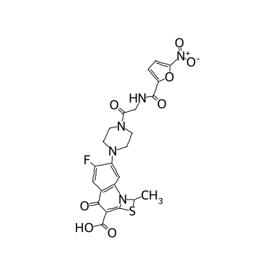 CC1Sc2c(C(=O)O)c(=O)c3cc(F)c(N4CCN(C(=O)CNC(=O)c5ccc([N+](=O)[O-])o5)CC4)cc3n21